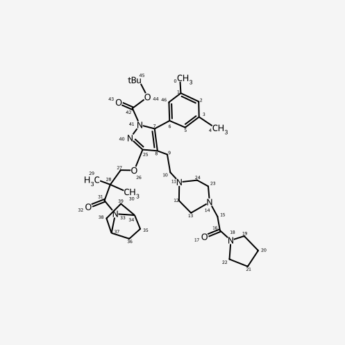 Cc1cc(C)cc(-c2c(CCN3CCN(CC(=O)N4CCCC4)CC3)c(OCC(C)(C)C(=O)N3C4CCC3CC4)nn2C(=O)OC(C)(C)C)c1